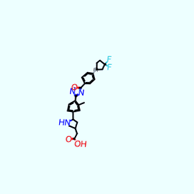 Cc1cc(C2CC(CC(=O)O)CN2)ccc1-c1noc(-c2ccc([C@@H]3CCC(F)(F)C3)cc2)n1